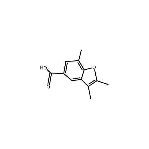 Cc1oc2c(C)cc(C(=O)O)cc2c1C